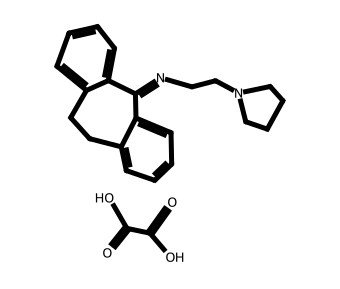 O=C(O)C(=O)O.c1ccc2c(c1)CCc1ccccc1C2=NCCN1CCCC1